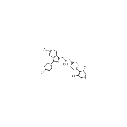 CC(=O)N1CCc2c(c(-c3ccc(Cl)cc3)nn2CC(O)CN2CCN(c3c(Cl)cncc3Cl)CC2)C1